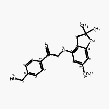 CC1(C)Cc2c(OCC(=O)c3ccc(CO)cc3)cc(C(=O)O)cc2O1